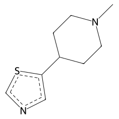 CN1CCC(c2cncs2)CC1